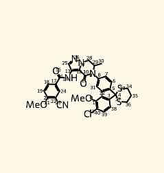 COc1cc(C2(c3ccc(N4C(=O)c5c(NC(=O)c6ccc(OC)c(C#N)c6)cnn5CC4C)cc3)SCCCS2)ccc1Cl